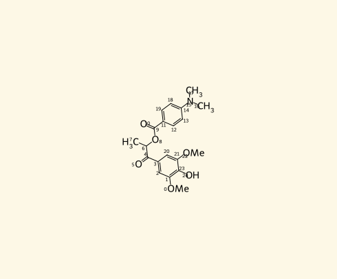 COc1cc(C(=O)C(C)OC(=O)c2ccc(N(C)C)cc2)cc(OC)c1O